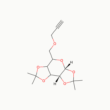 C#CCOCC1O[C@@H]2OC(C)(C)O[C@@H]2C2OC(C)(C)OC12